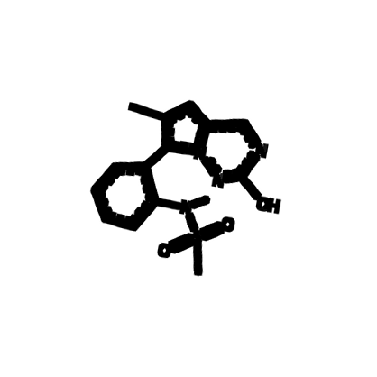 Cc1cc2cnc(O)nn2c1-c1ccccc1N(C)S(C)(=O)=O